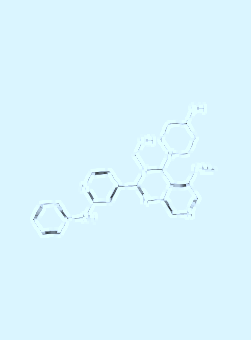 COc1cncc2c1C(N1CCC(O)CC1)N(CO)C(c1ccnc(Nc3ccccc3)c1)=N2